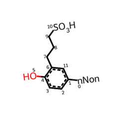 CCCCCCCCCc1ccc(O)c(CCCS(=O)(=O)O)c1